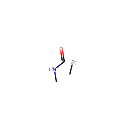 CCC.CNC=O